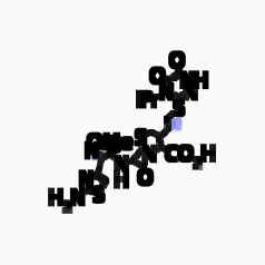 CO/N=C(\C(=O)NC1C(=O)N2C(C(=O)O)=C(/C=C/Sc3n[nH]c(=O)c(=O)n3C(C)C)CSC12)c1csc(N)n1